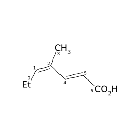 CCC=C(C)C=CC(=O)O